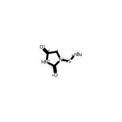 CCCCSN1CC(=O)NC1=O